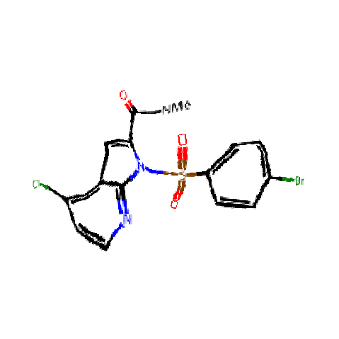 CNC(=O)c1cc2c(Cl)ccnc2n1S(=O)(=O)c1ccc(Br)cc1